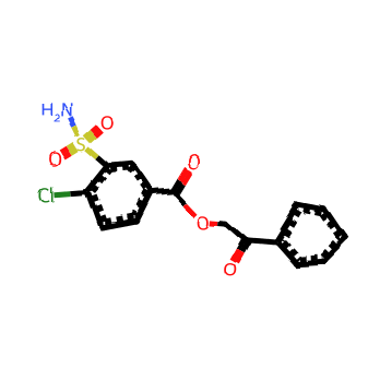 NS(=O)(=O)c1cc(C(=O)OCC(=O)c2ccccc2)ccc1Cl